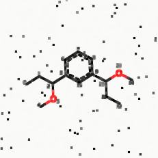 CCC(OC)c1cccc(C(CC)OC)c1